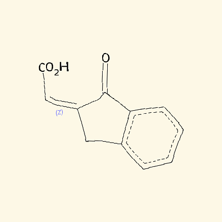 O=C(O)/C=C1/Cc2ccccc2C1=O